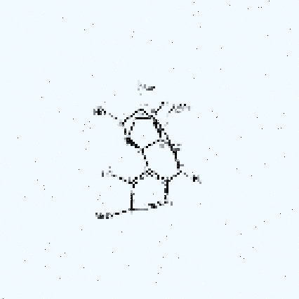 COc1ccc2c(c1O)[C@@]13CCN(C)[C@@]14C[C@@H]2O[C@]4(OC)[C@@H](OC)[C@@H](O)C3